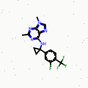 Cc1nc(NC2(c3ccc(C(F)(F)F)c(F)c3)CC2)c2ncn(C)c2n1